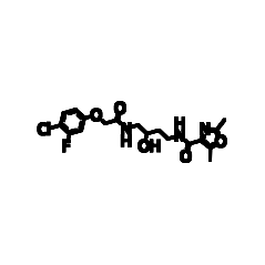 Cc1nc(C(=O)NCCC(O)CNC(=O)COc2ccc(Cl)c(F)c2)c(C)o1